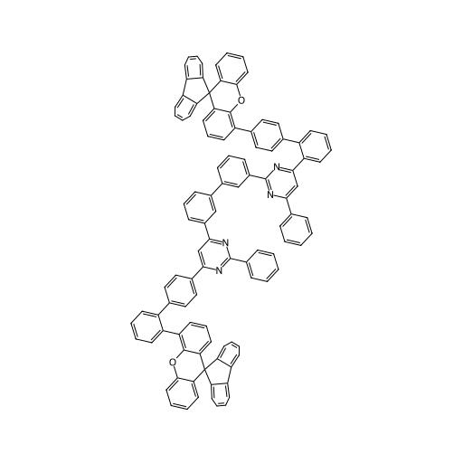 c1ccc(-c2cc(-c3ccccc3-c3ccc(-c4cccc5c4Oc4ccccc4C54c5ccccc5-c5ccccc54)cc3)nc(-c3cccc(-c4cccc(-c5cc(-c6ccc(-c7ccccc7-c7cccc8c7Oc7ccccc7C87c8ccccc8-c8ccccc87)cc6)nc(-c6ccccc6)n5)c4)c3)n2)cc1